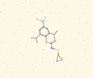 CC(C)c1cc(C(F)F)cc(C(C)C)c1CC(=O)N=S=C1CC1